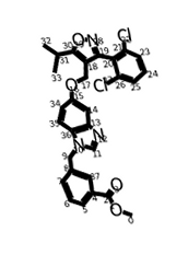 COC(=O)c1cccc(Cn2cnc3cc(OCc4c(-c5c(Cl)cccc5Cl)noc4C(C)C)ccc32)c1